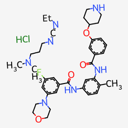 CCN=C=NCCCN(C)C.Cc1ccc(NC(=O)c2cc(F)cc(N3CCOCC3)c2)cc1NC(=O)c1cccc(OC2CCNCC2)c1.Cl